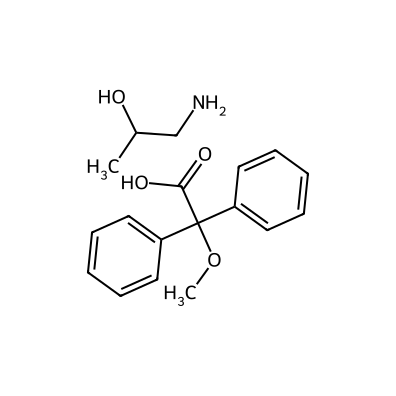 CC(O)CN.COC(C(=O)O)(c1ccccc1)c1ccccc1